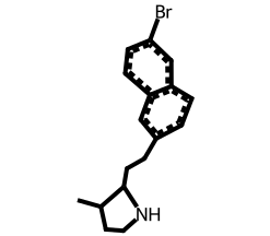 CC1CCNC1CCc1ccc2cc(Br)ccc2c1